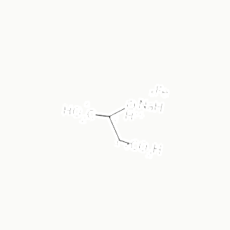 O=C(O)CC(O)C(=O)O.[Fe].[NaH]